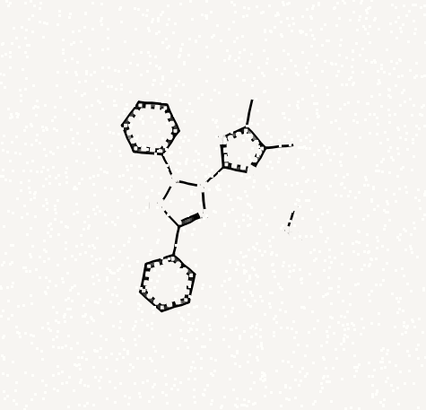 Cc1nc(N2N=C(c3ccccc3)NN2c2ccccc2)sc1C.O=[N+]([O-])Br